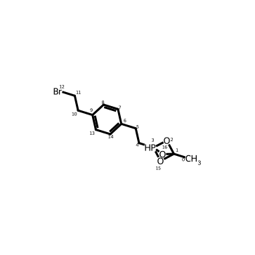 CC12O[PH](CCc3ccc(CCBr)cc3)(O1)O2